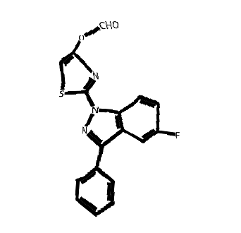 O=COc1csc(-n2nc(-c3ccccc3)c3cc(F)ccc32)n1